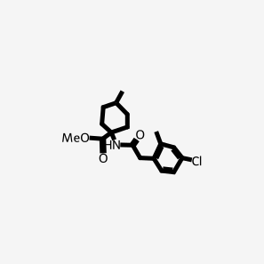 COC(=O)C1(NC(=O)Cc2ccc(Cl)cc2C)CCC(C)CC1